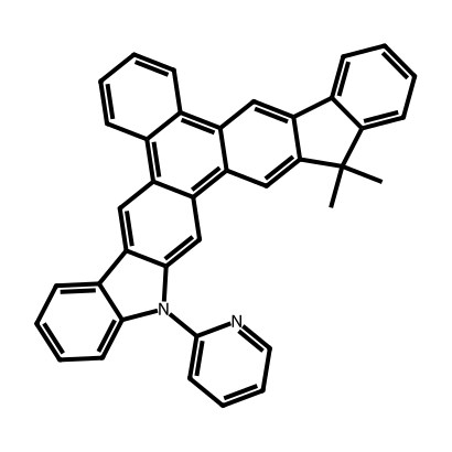 CC1(C)c2ccccc2-c2cc3c4ccccc4c4cc5c6ccccc6n(-c6ccccn6)c5cc4c3cc21